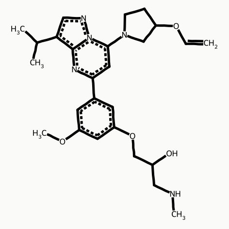 C=COC1CCN(c2cc(-c3cc(OC)cc(OCC(O)CNC)c3)nc3c(C(C)C)cnn23)C1